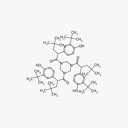 CC(C)(C)CC(C(=O)N1CN(C(=O)C(CC(C)(C)C)c2ccc(O)c(C(C)(C)C)c2)CN(C(=O)C(CC(C)(C)C)c2ccc(O)c(C(C)(C)C)c2)C1)c1ccc(O)c(C(C)(C)C)c1